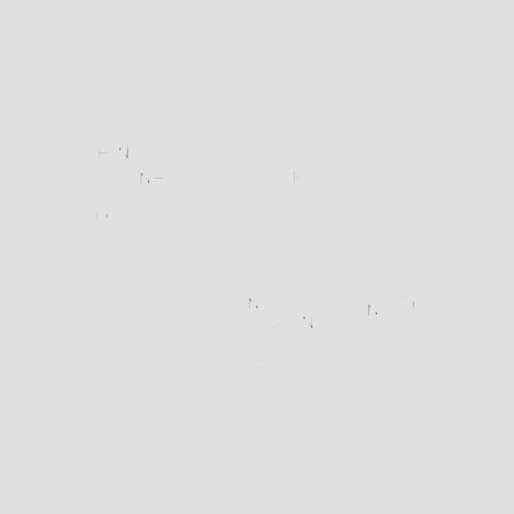 CCN1CCN(C(=O)N(Cc2ccc(C(=O)NN)cc2)c2ccc(F)cc2)CC1